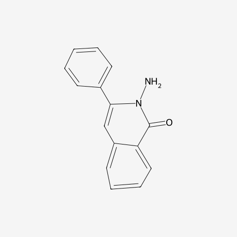 Nn1c(-c2ccccc2)cc2ccccc2c1=O